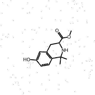 COC(=O)C1Cc2cc(O)ccc2C(C)(C)N1